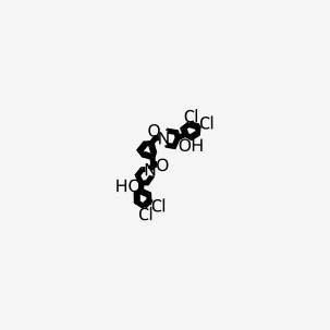 O=C(c1cccc(C(=O)N2CCC(O)(c3ccc(Cl)c(Cl)c3)CC2)c1)N1CCC(O)(c2ccc(Cl)c(Cl)c2)CC1